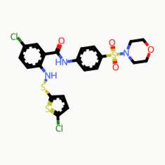 O=C(Nc1ccc(S(=O)(=O)N2CCOCC2)cc1)c1cc(Cl)ccc1NSc1ccc(Cl)s1